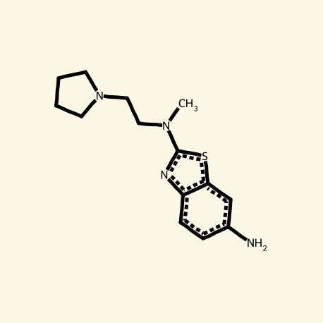 CN(CCN1CCCC1)c1nc2ccc(N)cc2s1